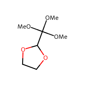 COC(OC)(OC)C1OCCO1